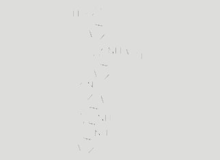 COc1cc(N(C(C)=O)c2ccc([C@@H](CC(=O)O)NC(=O)c3ccc(C(=O)O)cc3)cc2)ccc1NC(=O)Nc1ccccc1C